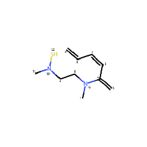 C=C/C=C\C(=C)N(C)CCN(C)S